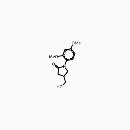 COc1ccc(N2CC(CO)CC2=O)c(OC)c1